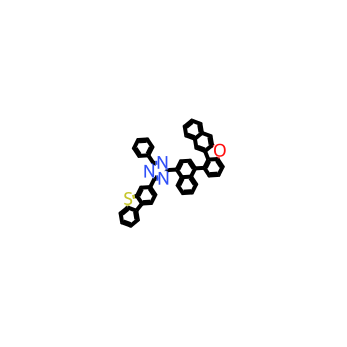 c1ccc(-c2nc(-c3ccc4c(c3)sc3ccccc34)nc(-c3ccc(-c4cccc5oc6cc7ccccc7cc6c45)c4ccccc34)n2)cc1